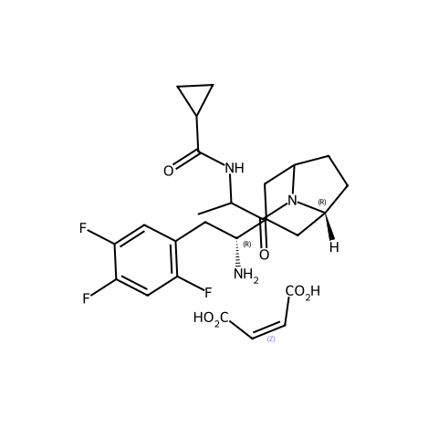 CC(NC(=O)C1CC1)C(=O)N1C2CC[C@@H]1CC([C@H](N)Cc1cc(F)c(F)cc1F)C2.O=C(O)/C=C\C(=O)O